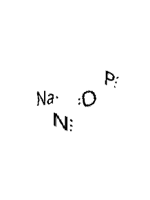 [N].[Na].[O].[P]